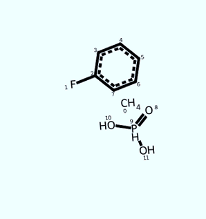 C.Fc1ccccc1.O=[PH](O)O